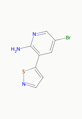 Nc1ncc(Br)cc1-c1ccns1